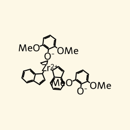 C1=C[CH]([Zr+2]2([CH]3C=Cc4ccccc43)[CH2][CH2]2)c2ccccc21.COc1cccc(OC)c1[O-].COc1cccc(OC)c1[O-]